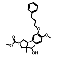 COC(=O)N1C[C@@H](c2ccc(OC)c(OCCCc3ccccc3)c2)[C@](C)([C@@H](C)O)C1